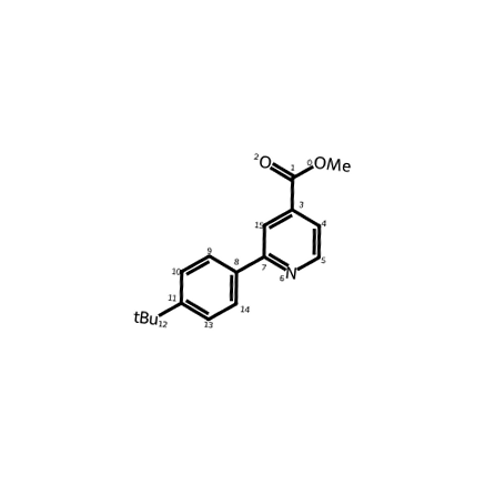 COC(=O)c1ccnc(-c2ccc(C(C)(C)C)cc2)c1